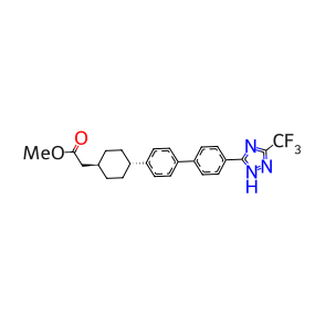 COC(=O)C[C@H]1CC[C@H](c2ccc(-c3ccc(-c4nc(C(F)(F)F)n[nH]4)cc3)cc2)CC1